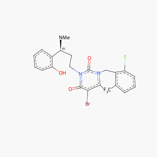 CN[C@@H](CCn1c(=O)c(Br)c(C)n(Cc2c(F)cccc2C(F)(F)F)c1=O)c1ccccc1O